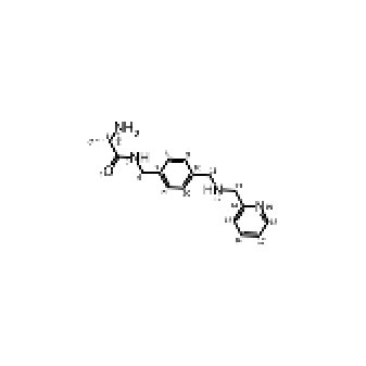 C[C@H](N)C(=O)NCc1ccc(CNCc2ccccn2)cc1